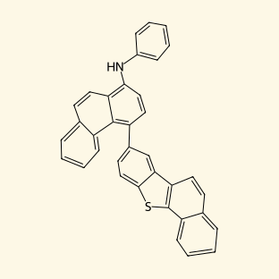 c1ccc(Nc2ccc(-c3ccc4sc5c6ccccc6ccc5c4c3)c3c2ccc2ccccc23)cc1